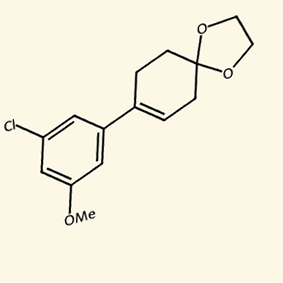 COc1cc(Cl)cc(C2=CCC3(CC2)OCCO3)c1